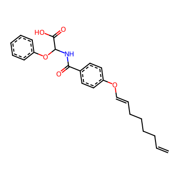 C=CCCCCC=COc1ccc(C(=O)NC(Oc2ccccc2)C(=O)O)cc1